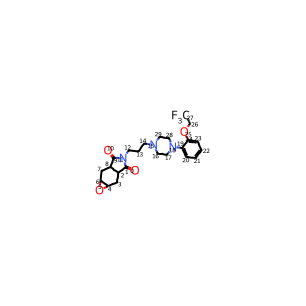 O=C1C2CC3OC3CC2C(=O)N1CCCN1CCN(c2ccccc2OCC(F)(F)F)CC1